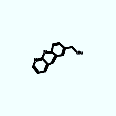 CC(C)(C)Cc1ccc2nc3ncccc3cc2c1